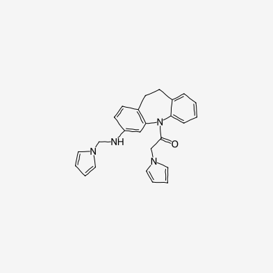 O=C(Cn1cccc1)N1c2ccccc2CCc2ccc(NCn3cccc3)cc21